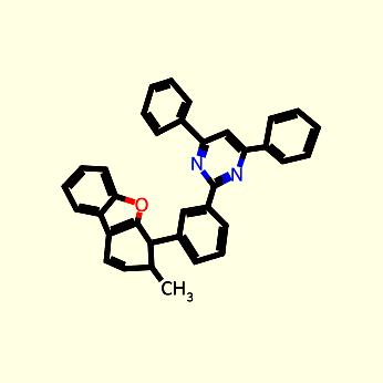 CC1C=Cc2c(oc3ccccc23)C1c1cccc(-c2nc(-c3ccccc3)cc(-c3ccccc3)n2)c1